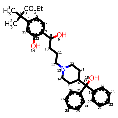 CCOC(=O)C(C)(C)c1ccc(C(O)CCCN2CCC(C(O)(c3ccccc3)c3ccccc3)CC2)c(O)c1